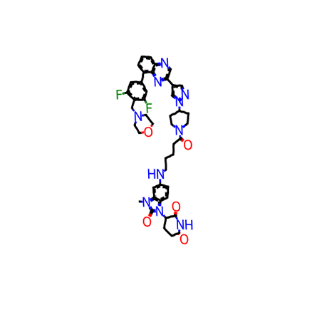 Cn1c(=O)n(C2CCC(=O)NC2=O)c2ccc(NCCCCC(=O)N3CCC(n4cc(-c5cnc6cccc(-c7cc(F)c(CN8CCOCC8)c(F)c7)c6n5)cn4)CC3)cc21